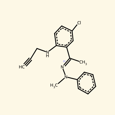 C#CCNc1ccc(Cl)cc1/C(C)=N/N(C)c1ccccc1